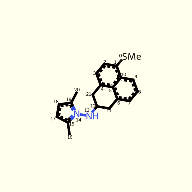 CSc1ccc2c3c(cccc13)CC(Nn1c(C)ccc1C)C2